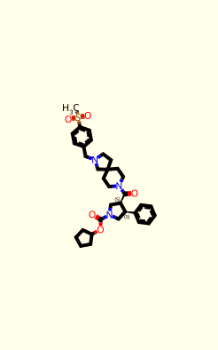 CS(=O)(=O)c1ccc(CN2CCC3(CCN(C(=O)[C@@H]4CN(C(=O)OC5CCCC5)C[C@@H]4c4ccccc4)CC3)C2)cc1